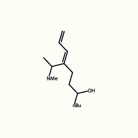 C=C/C=C(/CCC(O)CCCC)C(C)NC